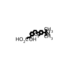 Cc1noc(C)c1-c1ccc(C2CCc3ccc([C@H](O)CC(=O)O)cc3O2)c(F)c1